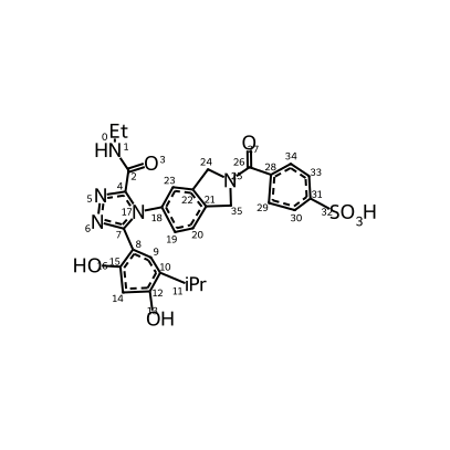 CCNC(=O)c1nnc(-c2cc(C(C)C)c(O)cc2O)n1-c1ccc2c(c1)CN(C(=O)c1ccc(S(=O)(=O)O)cc1)C2